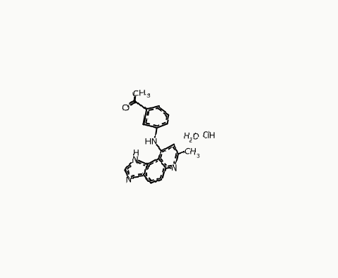 CC(=O)c1cccc(Nc2cc(C)nc3ccc4nc[nH]c4c23)c1.Cl.O